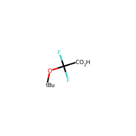 CC(C)(C)OC(F)(F)C(=O)O